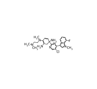 CN(C)CCN(C)C1=C(N)CC(N)(c2ncc(Cl)c(-c3cn(C)c4c(F)cccc34)n2)C=C1